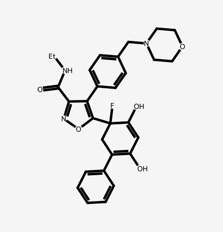 CCNC(=O)c1noc(C2(F)CC(c3ccccc3)=C(O)C=C2O)c1-c1ccc(CN2CCOCC2)cc1